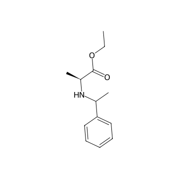 CCOC(=O)[C@H](C)NC(C)c1ccccc1